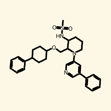 CS(=O)(=O)NC1CCCN(c2cncc(-c3ccccc3)c2)C1COC1CCC(c2ccccc2)CC1